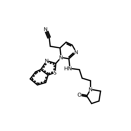 N#CCC1C=CN=C(NCCCN2CCCC2=O)N1c1nc2ccccc2s1